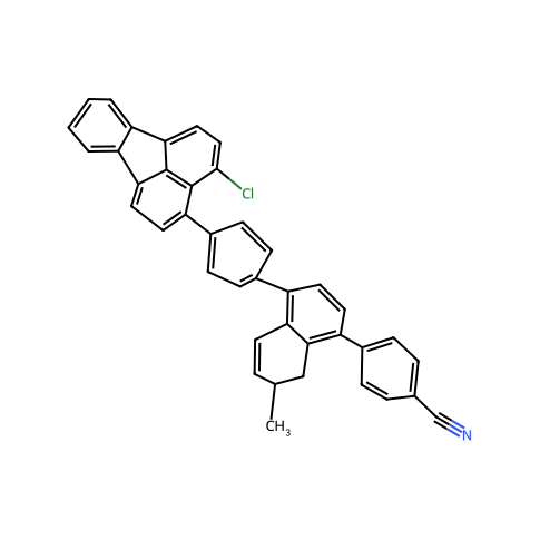 CC1C=Cc2c(-c3ccc(-c4ccc5c6c(ccc(Cl)c46)-c4ccccc4-5)cc3)ccc(-c3ccc(C#N)cc3)c2C1